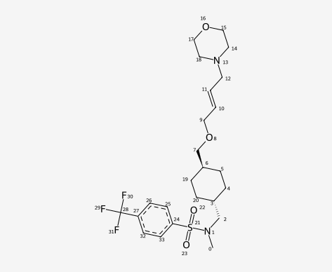 CN(C[C@H]1CC[C@H](COCC=CCN2CCOCC2)CC1)S(=O)(=O)c1ccc(C(F)(F)F)cc1